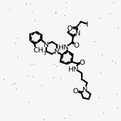 Cc1ccccc1N1CCN(c2ccc(C(=O)NCCCN3CCCC3=O)cc2NC(=O)c2coc(CI)n2)CC1